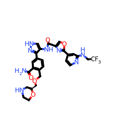 NC(=O)c1cc(-c2n[nH]cc2NC(=O)c2coc(-c3ccnc(NCC(F)(F)F)c3)n2)ccc1COC[C@@H]1CNCCO1